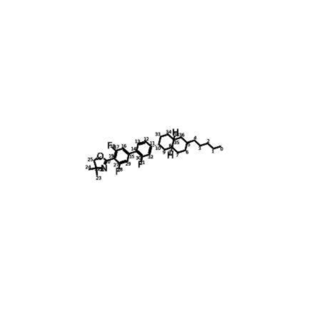 CCCCCC1CC[C@@H]2C[C@H](c3ccc(-c4cc(F)c(C5=NC(C)(C)CO5)c(F)c4)c(F)c3)CC[C@@H]2C1